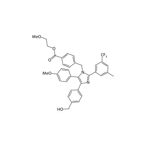 COCCOC(=O)c1ccc(Cn2c(-c3cc(C)cc(C(F)(F)F)c3)nc(-c3ccc(CO)cc3)c2-c2ccc(OC)cc2)cc1